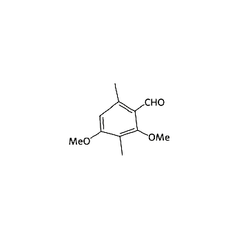 COc1cc(C)c(C=O)c(OC)c1C